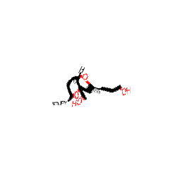 CCCC1CC[C@@H]2O[C@@H](CCCO)CC2(CO)O1